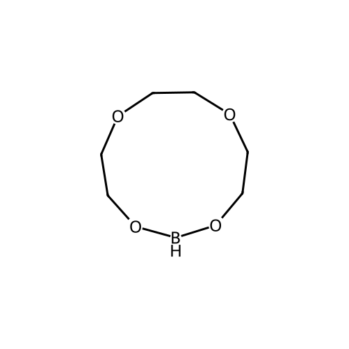 B1OCCOCCOCCO1